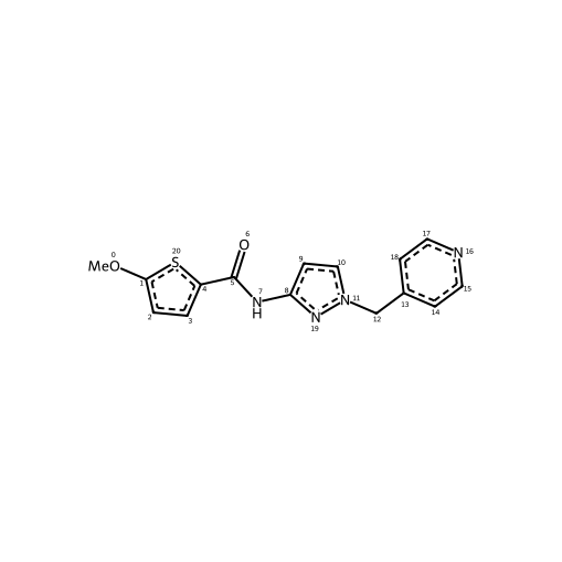 COc1ccc(C(=O)Nc2ccn(Cc3ccncc3)n2)s1